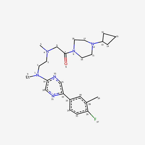 CCN(CCN(C)CC(=O)N1CCN(C2CCC2)CC1)c1cnc(-c2ccc(F)c(C)c2)cn1